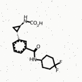 O=C(O)N[C@@H]1C[C@H]1c1cccc(C(=O)NC2CCC(F)(F)CC2)c1